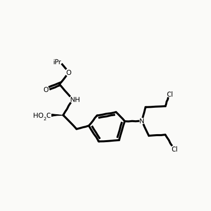 CC(C)OC(=O)N[C@@H](Cc1ccc(N(CCCl)CCCl)cc1)C(=O)O